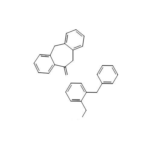 O=C(O)Cc1ccccc1Cc1ccccc1.O=C1Cc2ccccc2Cc2ccccc21